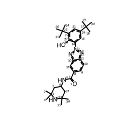 CC1(C)CC(NC(=O)c2ccc3nn(-c4cc(C(C)(C)C)cc(C(C)(C)C)c4O)nc3c2)CC(C)(C)N1